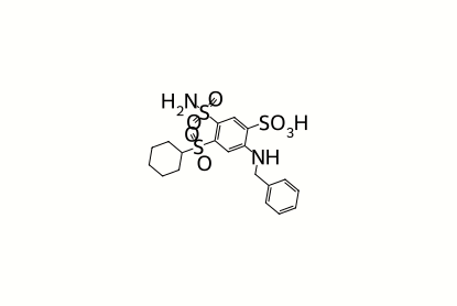 NS(=O)(=O)c1cc(S(=O)(=O)O)c(NCc2ccccc2)cc1S(=O)(=O)C1CCCCC1